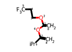 C=C(OCCC(F)(F)F)OC(=C)C(C)C